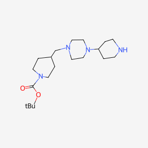 CC(C)(C)OC(=O)N1CCC(CN2CCN(C3CCNCC3)CC2)CC1